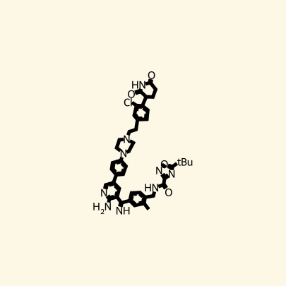 Cc1cc(C(=N)c2cc(-c3ccc(N4CCN(CCc5ccc(C6CCC(=O)NC6=O)c(Cl)c5)CC4)cc3)cnc2N)ccc1CNC(=O)c1noc(C(C)(C)C)n1